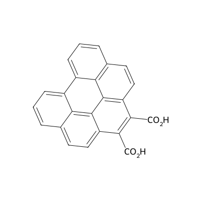 O=C(O)c1c(C(=O)O)c2ccc3cccc4c5cccc6ccc1c(c65)c2c34